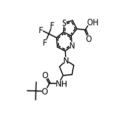 CC(C)(C)OC(=O)NC1CCN(c2cc(C(F)(F)F)c3scc(C(=O)O)c3n2)C1